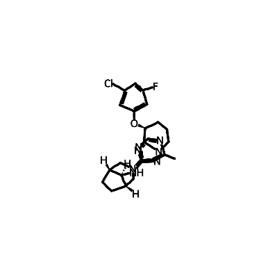 Cc1cc(N2C[C@H]3CC[C@@H](C2)[C@@H]3Nc2nc3n(n2)CCC[C@@H]3Oc2cc(F)cc(Cl)c2)ncn1